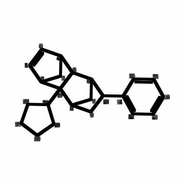 C1=CC2CC1C1C3CC(CC3c3ccccc3)C21C1CCCC1